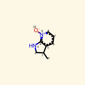 CC1CNc2c1ccc[n+]2[O-]